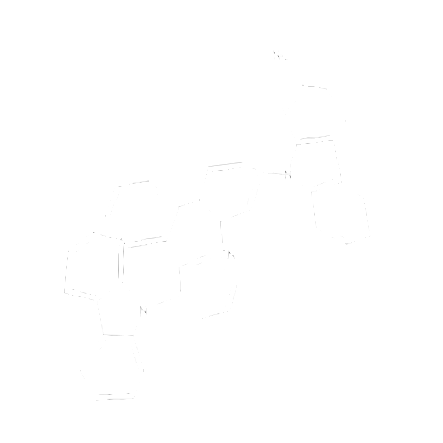 N#Cc1ccc2c3c(n(-c4ccc(-c5ccccc5-c5ccccc5-n5c6ccccc6c6ccccc65)c(C#N)c4)c2c1)C=CCC3